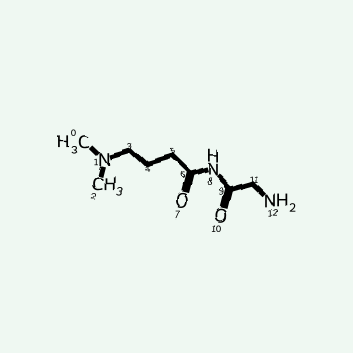 CN(C)CCCC(=O)NC(=O)CN